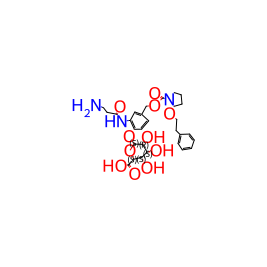 NCCC(=O)Nc1cc(COC(=O)N2CCCC2OCCc2ccccc2)ccc1O[C@@H]1O[C@H](C(=O)O)[C@@H](O)[C@H](O)[C@H]1O